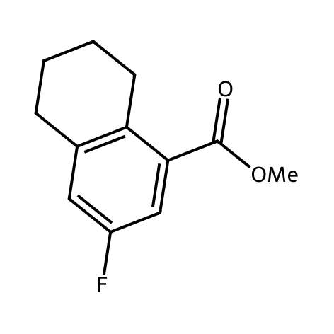 COC(=O)c1cc(F)cc2c1CCCC2